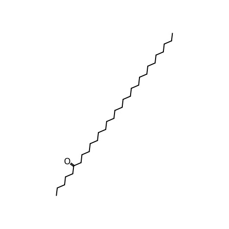 CCCCCCCCCCCCCCCCCCCCCCCCC(=O)CCCCC